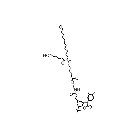 Cc1ccc(C2C(=O)Oc3c2cc(CCC(=O)NCCOC(=O)CCCCCOC(CCCCCCCCCCC=O)C(=O)CCCCCO)cc3C(C)(C)C)cc1C